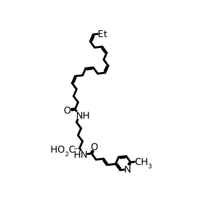 CC/C=C\C/C=C\C/C=C\C/C=C\C/C=C\CCCC(=O)NCCCC[C@H](NC(=O)C/C=C/c1ccc(C)nc1)C(=O)O